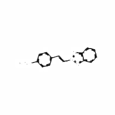 CC(=O)Nc1ccc(C=Cn2nc3ccccc3n2)cc1